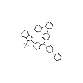 CC(C)(C)c1c(-c2cccc(N(c3ccc(-c4ccccc4)cc3)c3ccc(-c4ccccc4-c4ccccc4)cc3)c2)oc2ccccc12